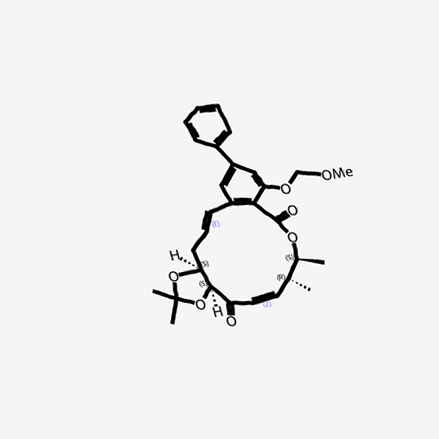 COCOc1cc(-c2ccccc2)cc2c1C(=O)O[C@@H](C)[C@H](C)/C=C\C(=O)[C@H]1OC(C)(C)O[C@H]1C/C=C/2